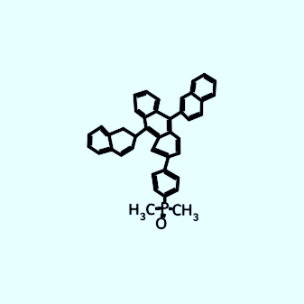 CP(C)(=O)c1ccc(-c2ccc3c(-c4ccc5ccccc5c4)c4ccccc4c(C4C=Cc5ccccc5C4)c3c2)cc1